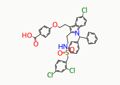 O=C(O)c1ccc(OCCc2c(CCNS(=O)(=O)Cc3ccc(Cl)cc3Cl)n(C(c3ccccc3)c3ccccc3)c3ccc(Cl)cc23)cc1